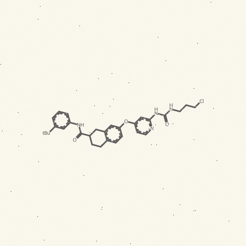 CC(C)(C)c1cccc(NC(=O)C2CCc3ccc(Oc4ccnc(NC(=O)NCCCCl)c4)cc3C2)c1